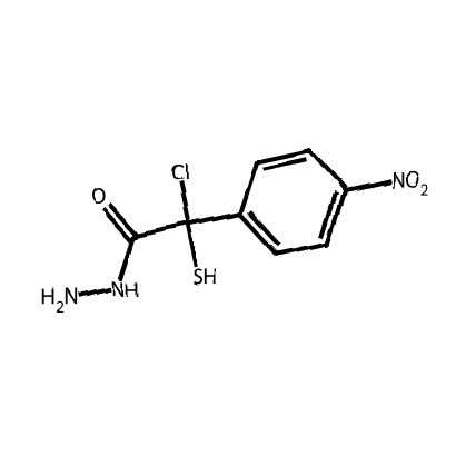 NNC(=O)C(S)(Cl)c1ccc([N+](=O)[O-])cc1